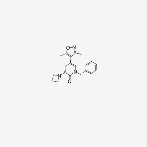 Cc1noc(C)c1-c1cc(N2CCC2)c(=O)n(Cc2ccccc2)c1